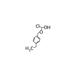 CCc1ccc(COC(O)Cl)cc1